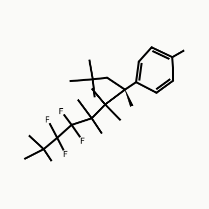 Cc1ccc([C@@](C)(CC(C)(C)C)C(C)(C)C(C)(C)C(F)(F)C(F)(F)C(C)(C)C)cc1